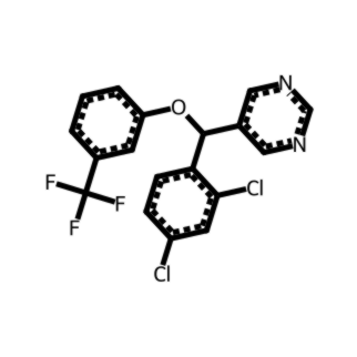 FC(F)(F)c1cccc(OC(c2cncnc2)c2ccc(Cl)cc2Cl)c1